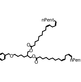 CCCCC/C=C\C/C=C\CCCCCCCC(=O)OCC(CCCCOCc1ccccc1)COC(=O)CCCCCCC/C=C\C/C=C\CCCCC